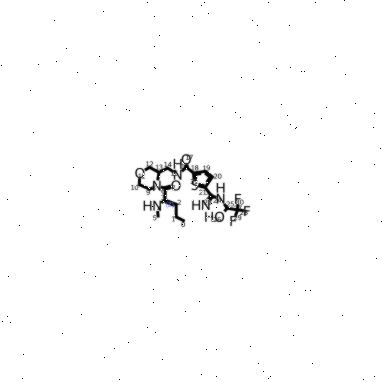 CC/C=C(\NC)C(=O)N1CCOCC1CNC(=O)c1ccc(C(=N)NC(O)C(F)(F)F)s1